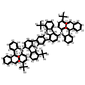 CC(C)(C)c1ccc(N(c2ccccc2-c2cccc3ccccc23)c2ccc3c4cc5c(cc4n4c6c(C(C)(C)C)cccc6c2c34)c2ccc(N(c3ccc(C(C)(C)C)cc3)c3ccccc3-c3cccc4ccccc34)c3c4cccc(C(C)(C)C)c4n5c23)cc1